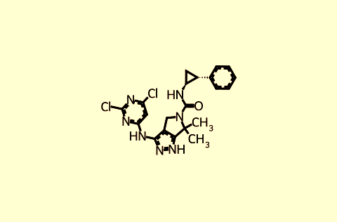 CC1(C)c2[nH]nc(Nc3cc(Cl)nc(Cl)n3)c2CN1C(=O)N[C@H]1C[C@@H]1c1ccccc1